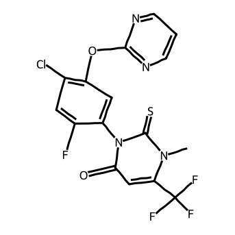 Cn1c(C(F)(F)F)cc(=O)n(-c2cc(Oc3ncccn3)c(Cl)cc2F)c1=S